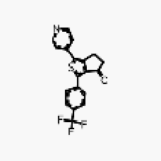 O=C1CCc2c(-c3ccncc3)sc(-c3ccc(C(F)(F)F)cc3)c21